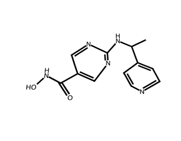 CC(Nc1ncc(C(=O)NO)cn1)c1ccncc1